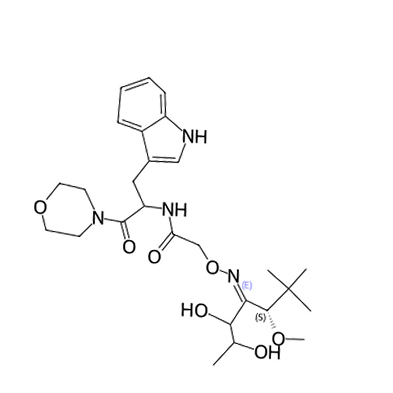 CO[C@H](/C(=N/OCC(=O)NC(Cc1c[nH]c2ccccc12)C(=O)N1CCOCC1)C(O)C(C)O)C(C)(C)C